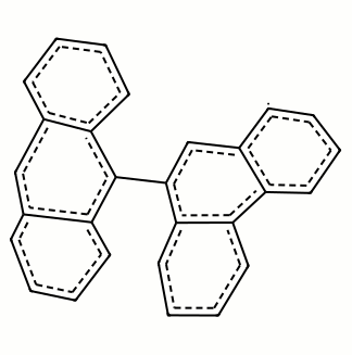 [c]1cccc2c1cc(-c1c3ccccc3cc3ccccc13)c1ccccc12